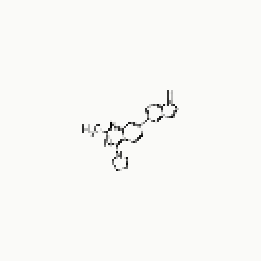 Cc1nc(N2CCCC2)c2ccc(-c3ccc4[nH]ccc4c3)cc2n1